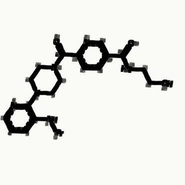 CC(C)Nc1cccnc1N1CCN(C(=O)c2ccc(C(=O)NCCO)cn2)CC1